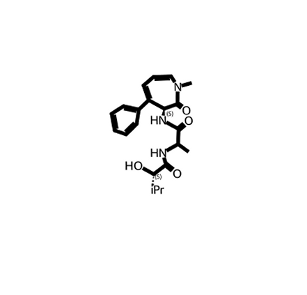 CC(NC(=O)[C@@H](O)C(C)C)C(=O)N[C@@H]1C(=O)N(C)C=CC=C1c1ccccc1